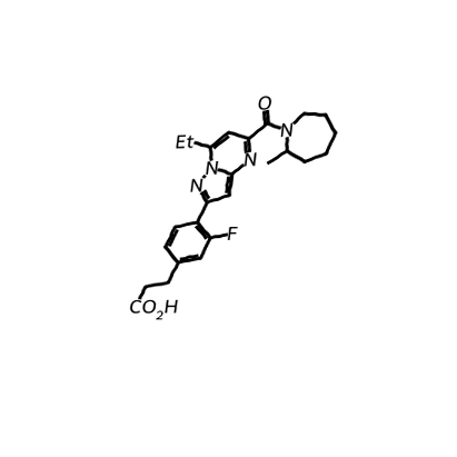 CCc1cc(C(=O)N2CCCCCC2C)nc2cc(-c3ccc(CCC(=O)O)cc3F)nn12